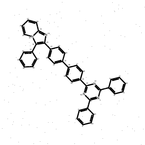 c1ccc(-c2nc(-c3ccccc3)nc(-c3ccc(-c4ccc(-c5nc6ccccn6c5-c5ccccc5)cc4)cc3)n2)cc1